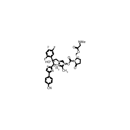 CNCC(=O)OC[C@@H]1CCC(=O)N1C(=O)O[n+]1cn(C[C@](O)(c2cc(F)ccc2F)[C@@H](C)c2nc(-c3ccc(C#N)cc3)cs2)nc1C.[I-]